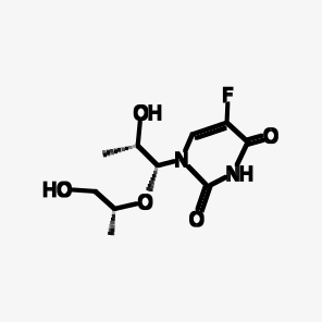 C[C@H](CO)O[C@H]([C@H](C)O)n1cc(F)c(=O)[nH]c1=O